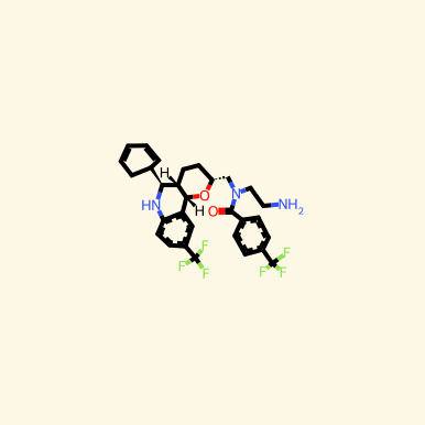 NCCN(C[C@H]1CC[C@@H]2[C@H](O1)c1cc(C(F)(F)F)ccc1N[C@H]2C1C=CC=CC1)C(=O)c1ccc(C(F)(F)F)cc1